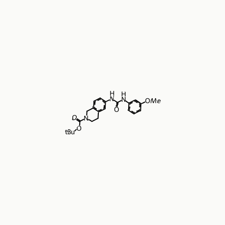 COc1cccc(NC(=O)Nc2ccc3c(c2)CCN(C(=O)OC(C)(C)C)C3)c1